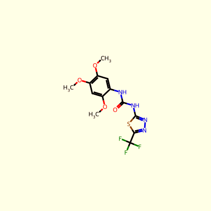 COc1cc(OC)c(OC)cc1NC(=O)Nc1nnc(C(F)(F)F)s1